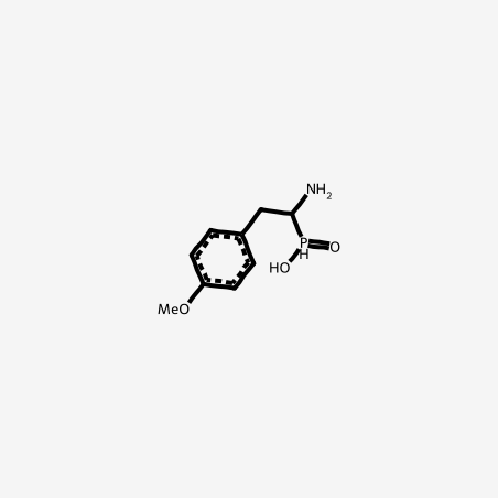 COc1ccc(CC(N)[PH](=O)O)cc1